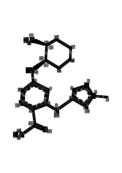 Cn1ncc(Nc2cc(N[C@@H]3CCCC[C@@H]3N)cnc2C(N)=O)n1